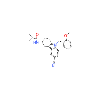 COc1ccccc1Cn1c2c(c3cc(C#N)ccc31)CC(NC(=O)C(C)C)CC2